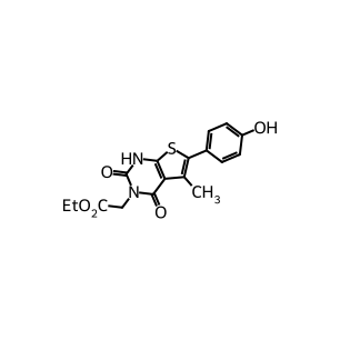 CCOC(=O)Cn1c(=O)[nH]c2sc(-c3ccc(O)cc3)c(C)c2c1=O